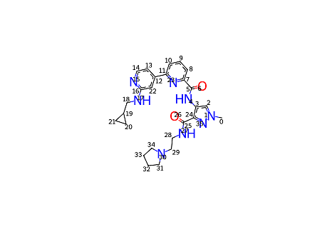 Cn1cc(NC(=O)c2cccc(-c3ccnc(NCC4CC4)c3)n2)c(C(=O)NCCN2CCCC2)n1